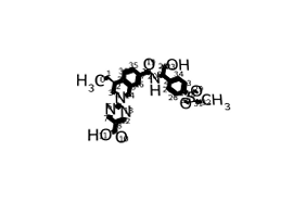 CC[C@@H]1CN(c2ncc(C(=O)O)cn2)Cc2cc(C(=O)NC(CO)c3ccc(S(=O)(=O)CC)cc3)ccc21